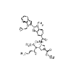 CC=CC(=O)N([C@@H]1CN(C(=O)OC(C)(C)C)C[C@H]1NC(=O)c1ccc2c(c1)nc(-c1cc3cccnc3n1CC1CC1)n2C)N(C)C